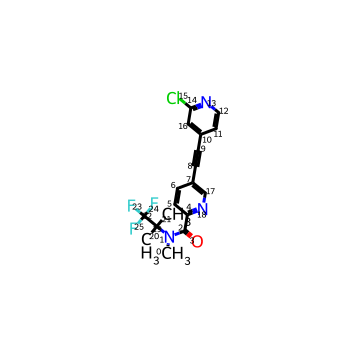 CN(C(=O)c1ccc(C#Cc2ccnc(Cl)c2)cn1)C(C)(C)C(F)(F)F